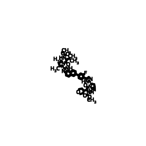 COC(=O)N[C@H](C(=O)N1[C@H](C)C[C@H](C)[C@H]1c1nc2ccc3cc(-c4ccc(-c5cnc([C@@H]6CC7C[C@H]7N6C(=O)[C@@H](NC(=O)OC)C6CCOCC6)[nH]5)c(F)c4)ccc3c2[nH]1)C(C)C